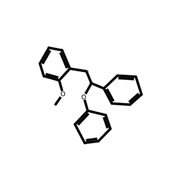 COc1ccccc1[CH]C(Oc1ccccc1)c1ccccc1